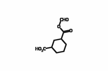 O=COC(=O)C1CCCC(C(=O)O)C1